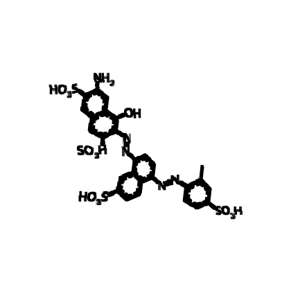 Cc1cc(S(=O)(=O)O)ccc1N=Nc1ccc(N=Nc2c(S(=O)(=O)O)cc3cc(S(=O)(=O)O)c(N)cc3c2O)c2cc(S(=O)(=O)O)ccc12